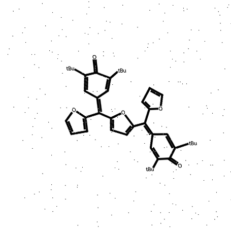 CC(C)(C)C1=CC(=C(c2ccco2)c2ccc(C(=C3C=C(C(C)(C)C)C(=O)C(C(C)(C)C)=C3)c3ccco3)o2)C=C(C(C)(C)C)C1=O